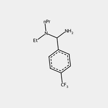 CCCN(CC)C(N)c1ccc(C(F)(F)F)cc1